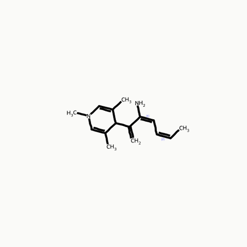 C=C(/C(N)=C\C=C/C)C1C(C)=CN(C)C=C1C